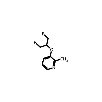 Cc1nc[c]cc1OC(CF)CF